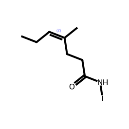 CC/C=C(/C)CCC(=O)NI